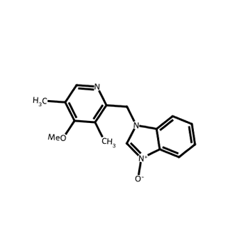 COc1c(C)cnc(Cn2c[n+]([O-])c3ccccc32)c1C